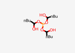 CCCCC(O)OP(OC(O)CCCC)OC(O)CCCC